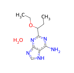 CCOC(CC)c1nc(N)c2[nH]cnc2n1.O